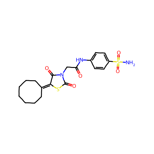 NS(=O)(=O)c1ccc(NC(=O)CN2C(=O)SC(=C3CCCCCCC3)C2=O)cc1